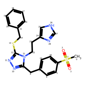 CS(=O)(=O)c1ccc(Cc2nnc(SCc3ccccc3)n2CCc2c[nH]cn2)cc1